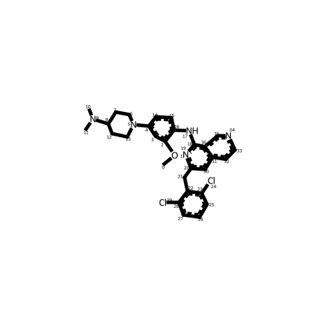 COc1cc(N2CCC(N(C)C)CC2)ccc1Nc1nc(Cc2c(Cl)cccc2Cl)cc2ccncc12